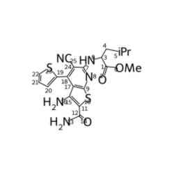 COC(=O)C(CC(C)C)Nc1nc2sc(C(N)=O)c(N)c2c(-c2cccs2)c1C#N